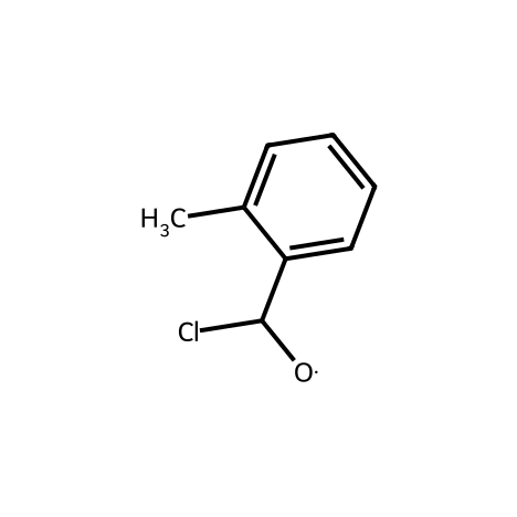 Cc1ccccc1C([O])Cl